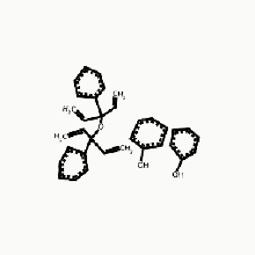 C=CC(C=C)(OC(C=C)(C=C)c1ccccc1)c1ccccc1.Oc1ccccc1.Oc1ccccc1